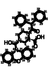 O=C(O)[C@@H]1CN(C(O)N2c3ccccc3Oc3ccccc32)CCN1C(=O)C(c1ccccc1)c1ccccc1